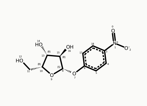 O=[N+]([O-])c1ccc(O[C@@H]2O[C@H](CO)[C@H](O)[C@H]2O)cc1